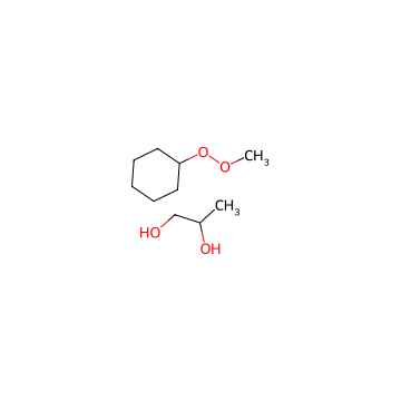 CC(O)CO.COOC1CCCCC1